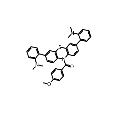 COc1ccc(C(=O)N2c3ccc(-c4ccccc4N(C)C)cc3Sc3cc(-c4ccccc4N(C)C)ccc32)cc1